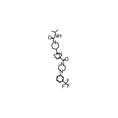 CC(C)NC(=O)N1CCC(c2nc(C(=O)N3CCN(c4cccc(C(F)(F)F)c4)CC3)cs2)CC1